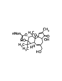 CCCCCCCCCC(=O)O[C@@H]1[C@@H](C)[C@]23O[C@]24C=C(C)C(=O)[C@@]4(O)CC(CO)=C[C@H]3[C@H]2C(C)(C)[C@]12O